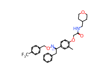 Cc1cc(/C(Cc2ccccc2)=N/OCc2ccc(C(F)(F)F)cc2)ccc1OCC(=O)NCC1CCOCC1